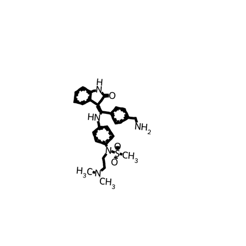 CN(C)CCN(c1ccc(NC(=C2C(=O)Nc3ccccc32)c2ccc(CN)cc2)cc1)S(C)(=O)=O